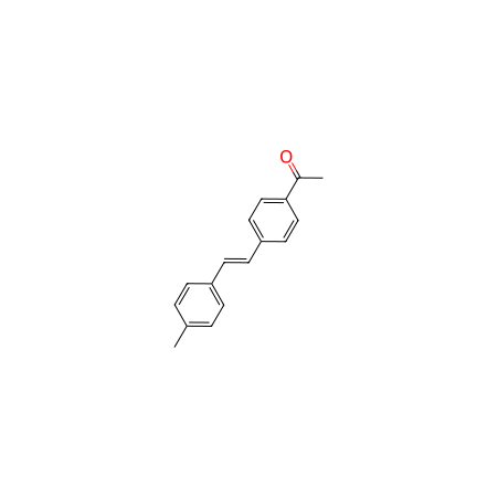 CC(=O)c1ccc(C=Cc2ccc(C)cc2)cc1